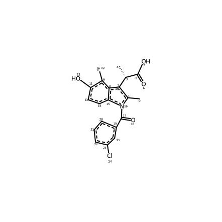 Cc1c([C@H](C)C(=O)O)c2c(F)c(O)ccc2n1C(=O)c1cccc(Cl)c1